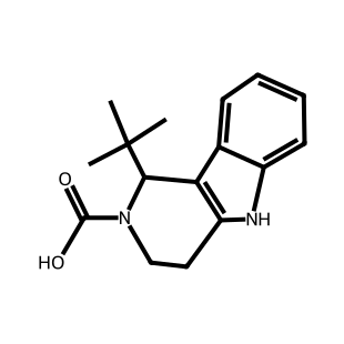 CC(C)(C)C1c2c([nH]c3ccccc23)CCN1C(=O)O